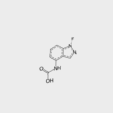 O=C(O)Nc1cccc2c1cnn2F